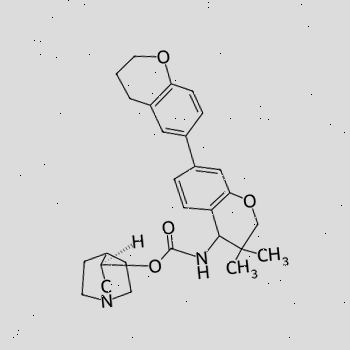 CC1(C)COc2cc(-c3ccc4c(c3)CCCO4)ccc2C1NC(=O)O[C@H]1CN2CCC1CC2